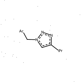 CC(=O)Cn1cc(C(C)C)nn1